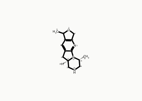 CC1OCc2nc3c(cc21)C[C@@H]1CNC[C@@H](C)N31